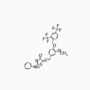 COc1cc(C=C=C2SC(Nc3ccccc3)=NC2=O)ccc1OCc1ccc(C(F)(F)F)cc1C(F)(F)F